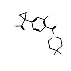 NC(=O)C1(c2ccc(C(=O)N3CCC(F)(F)CC3)c(Br)c2)CC1